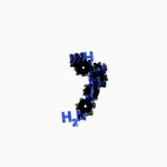 Nc1ccc(N2CCN(c3ncc4ncn(-c5ccc6cn[nH]c6c5)c4n3)CC2)cc1